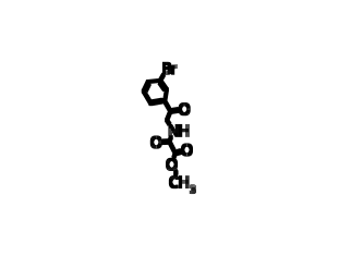 CCOC(=O)C(=O)NCC(=O)c1cccc(Br)c1